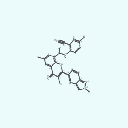 Cc1cc(C(C)Nc2ccc(C)nc2C#N)c2oc(-c3ccc4nn(C)cc4c3)c(C)c(=O)c2c1